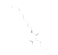 CCCCCCCC=CC(=O)N(CCS)C(C)=O